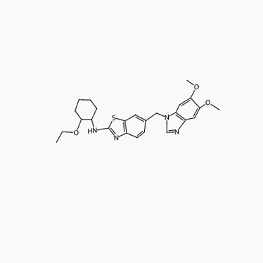 CCOC1CCCCC1Nc1nc2ccc(Cn3cnc4cc(OC)c(OC)cc43)cc2s1